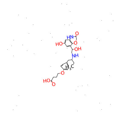 CCC(Cc1ccc(OCCCC(=O)O)cc1)NCC(O)c1cc(O)cc2c1OCC(=O)N2